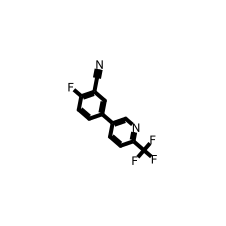 N#Cc1cc(-c2ccc(C(F)(F)F)nc2)ccc1F